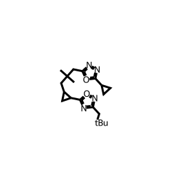 CC(C)(C)Cc1noc(C2CC2CC(C)(C)Cc2nnc(C3CC3)o2)n1